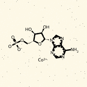 Nc1ncnc2c1ncn2[C@@H]1O[C@H](COP(=O)([O-])[O-])[C@@H](O)[C@H]1O.[Co+2]